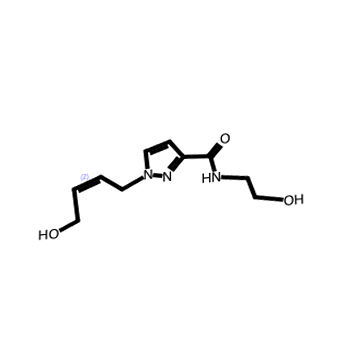 O=C(NCCO)c1ccn(C/C=C\CO)n1